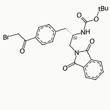 CC(C)(C)OC(=O)N[C@@H](Cc1ccc(C(=O)CBr)cc1)CN1C(=O)c2ccccc2C1=O